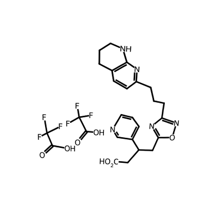 O=C(O)C(F)(F)F.O=C(O)C(F)(F)F.O=C(O)CC(Cc1nc(CCCc2ccc3c(n2)NCCC3)no1)c1cccnc1